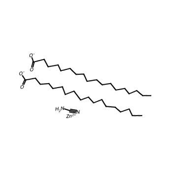 CCCCCCCCCCCCCCCCCC(=O)[O-].CCCCCCCCCCCCCCCCCC(=O)[O-].N#CN.[Zn+2]